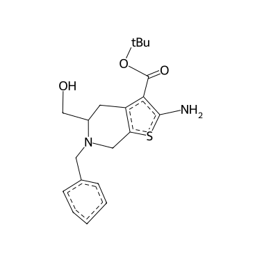 CC(C)(C)OC(=O)c1c(N)sc2c1CC(CO)N(Cc1ccccc1)C2